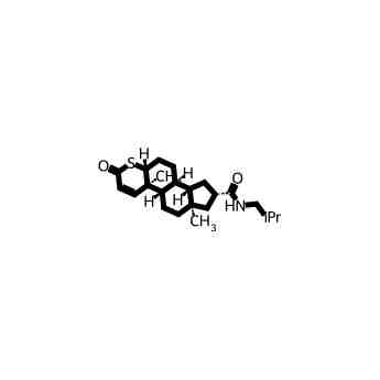 CC(C)CNC(=O)[C@H]1C[C@H]2[C@@H]3CC[C@H]4SC(=O)C=C[C@]4(C)[C@H]3CC[C@]2(C)C1